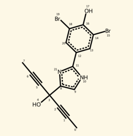 CC#CC(O)(C#CC)c1c[nH]c(-c2cc(Br)c(O)c(Br)c2)n1